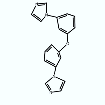 c1cc(Oc2cccc(-n3ccnc3)c2)cc(-n2ccnc2)c1